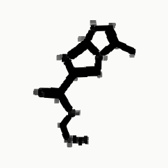 CCCCCCCCOC(=O)c1cn2c(C)csc2n1